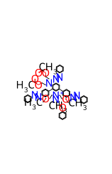 CCOCC[N+](CCOCC)(c1c(-c2ccc(N=Nc3ccccc3)cc2)cc(N=Nc2ccccc2)c(N(CCOC(C)=O)CCOC(C)=O)c1-c1ccc(N=Nc2ccccc2)cc1)N(CC)CCOc1ccccc1